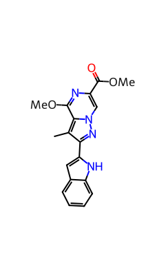 COC(=O)c1cn2nc(-c3cc4ccccc4[nH]3)c(C)c2c(OC)n1